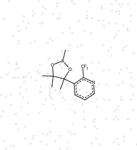 CB1OC(C)(C)C(C)(c2cccnc2C(F)(F)F)O1